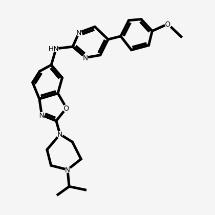 COc1ccc(-c2cnc(Nc3ccc4nc(N5CCN(C(C)C)CC5)oc4c3)nc2)cc1